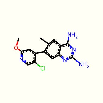 COc1cc(-c2cc3nc(N)nc(N)c3cc2C)c(Cl)cn1